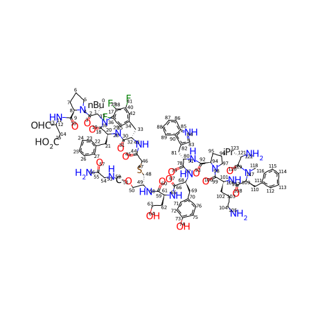 CCCC[C@@H](C(=O)N1CCC[C@@H]1C(=O)N[C@H](C=O)CC(=O)O)N(C)C(=O)[C@H](Cc1ccccc1)N(C)C(=O)[C@H](Cc1cc(F)c(F)c(F)c1)NC(=O)CSC[C@@H](COCNCC(N)=O)NC(=O)[C@H](CCO)NC(=O)[C@H](Cc1ccc(O)cc1)NC(=O)[C@H](Cc1c[nH]c2ccccc12)NC(=O)[C@H]1CCCN1C(=O)[C@H](CCCN)NC(=O)[C@H](Cc1ccccc1)N(C)C(=O)[C@@H](N)C(C)C